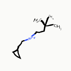 CC(C)(C)CCNCC1CC1